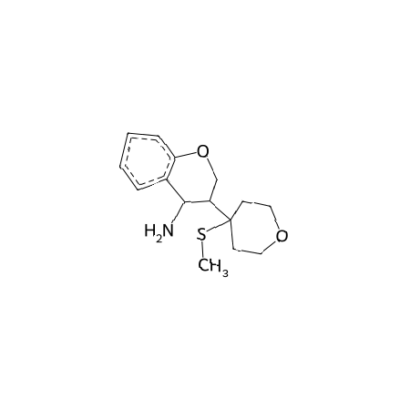 CSC1(C2COc3ccccc3C2N)CCOCC1